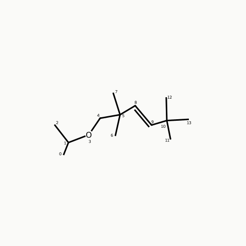 CC(C)OCC(C)(C)/C=C/C(C)(C)C